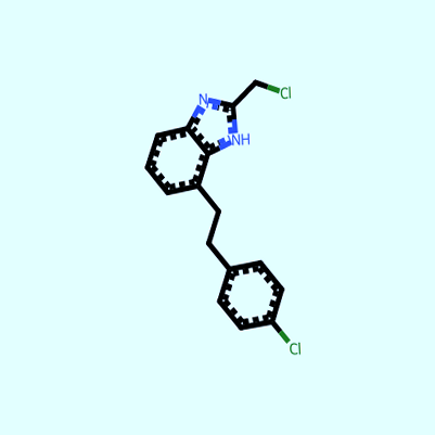 ClCc1nc2cccc(CCc3ccc(Cl)cc3)c2[nH]1